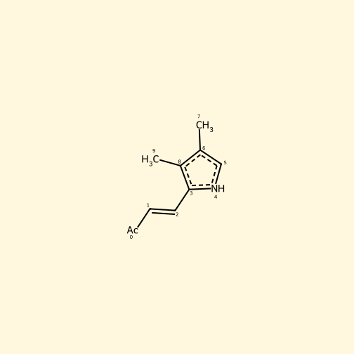 CC(=O)C=Cc1[nH]cc(C)c1C